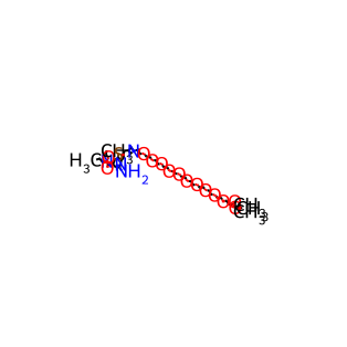 CCCN(OCC)C(=O)C1=Cc2sc(CC3CN(CCOCCOCCOCCOCCOCCOCCOCCOCCOCCOCCC(=O)OC(C)(C)C)C3)cc2N=C(N)C1